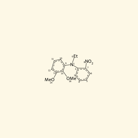 CCN(c1ccccc1[N+](=O)[O-])c1cccc(OC)c1OC